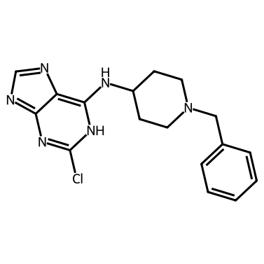 Clc1nc2ncnc-2c(NC2CCN(Cc3ccccc3)CC2)[nH]1